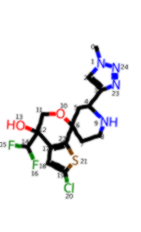 Cn1cc(C2CC3(CCN2)OCC(O)(C(F)F)c2cc(Cl)sc23)nn1